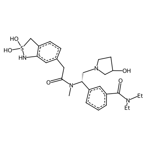 CCN(CC)C(=O)c1cccc([C@@H](CN2CCC(O)C2)N(C)C(=O)Cc2ccc3c(c2)NS(O)(O)C3)c1